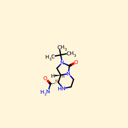 CC(C)(C)N1C[C@H]2[C@@H](C(N)=O)NCCN2C1=O